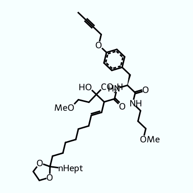 CC#CCOc1ccc(C[C@H](NC(=O)C(C=CCCCCCCC2(CCCCCCC)OCCO2)C(O)(CCOC)C(=O)O)C(=O)NCCCOC)cc1